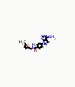 Cc1ccc(CNC(=O)c2ccc(-n3ncc4c(N)ncnc43)cc2)o1